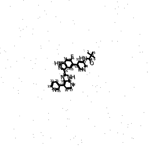 CC(C)(C)C(=O)Nc1cncc(-c2cc3c(-c4nc5c(-c6cccnc6)ccnc5[nH]4)n[nH]c3cc2F)c1